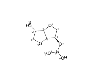 ON(O)O[C@@H]1COC2C1OC[C@@H]2S